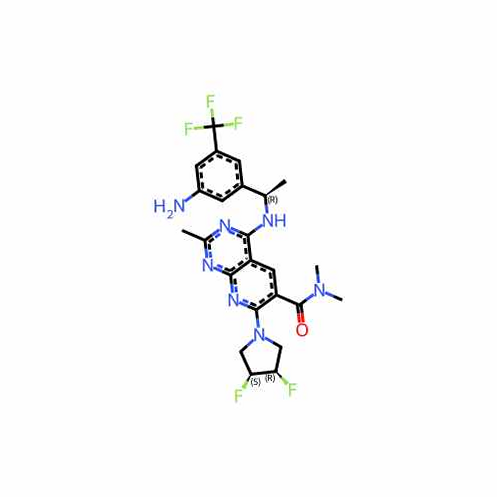 Cc1nc(N[C@H](C)c2cc(N)cc(C(F)(F)F)c2)c2cc(C(=O)N(C)C)c(N3C[C@@H](F)[C@@H](F)C3)nc2n1